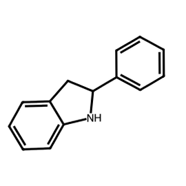 c1ccc(C2Cc3ccccc3N2)cc1